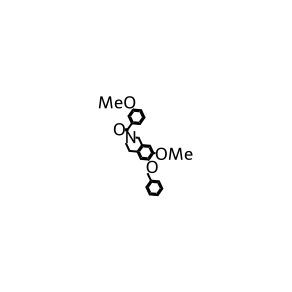 COc1cccc(C(=O)N2CCc3cc(OCc4ccccc4)c(OC)cc3C2)c1